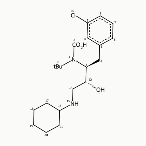 CC(C)(C)N(C(=O)O)[C@@H](Cc1cccc(Cl)c1)[C@H](O)CNC1CCCCC1